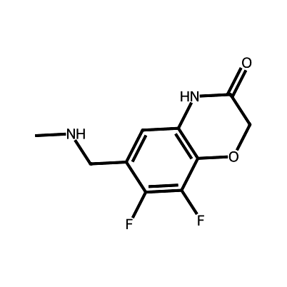 CNCc1cc2c(c(F)c1F)OCC(=O)N2